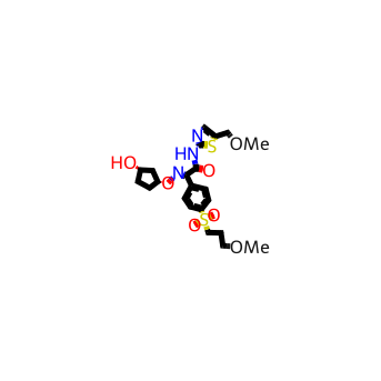 COCCCS(=O)(=O)c1ccc(/C(=N\O[C@@H]2CC[C@@H](O)C2)C(=O)Nc2ncc(COC)s2)cc1